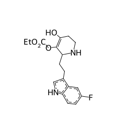 CCOC(=O)OC1=C(O)CCNC1CCc1c[nH]c2ccc(F)cc12